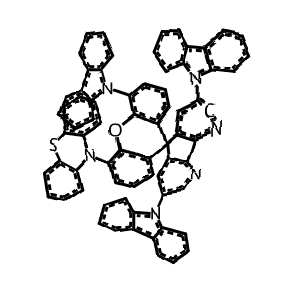 c1ccc2c(c1)Sc1ccccc1N2c1cccc2c1Oc1c(-n3c4ccccc4c4ccccc43)cccc1C21c2cc(-n3c4ccccc4c4ccccc43)cnc2-c2ncc(-n3c4ccccc4c4ccccc43)cc21